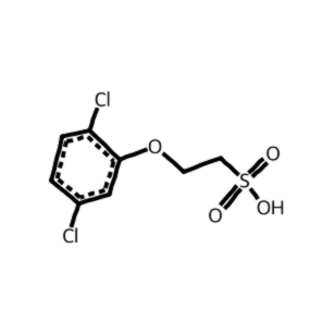 O=S(=O)(O)CCOc1cc(Cl)ccc1Cl